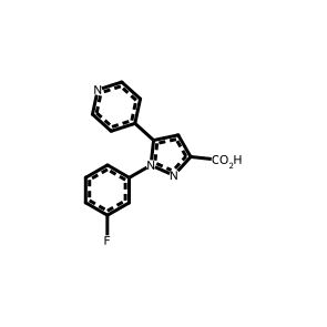 O=C(O)c1cc(-c2ccncc2)n(-c2cccc(F)c2)n1